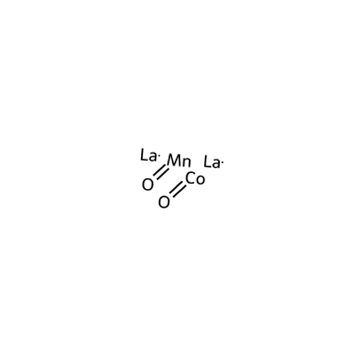 [La].[La].[O]=[Co].[O]=[Mn]